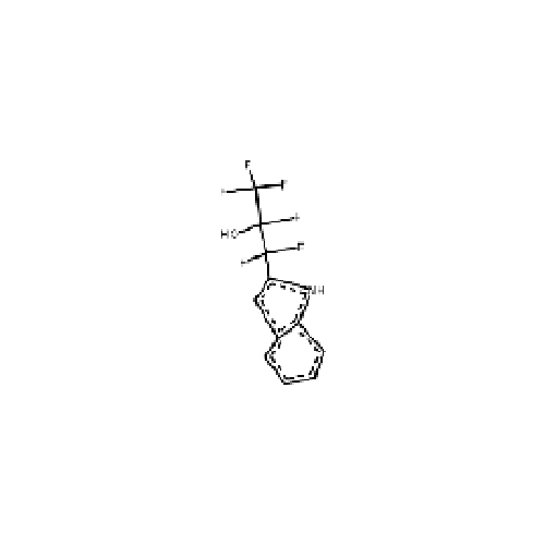 OC(F)(C(F)(F)F)C(F)(F)c1cc2ccccc2[nH]1